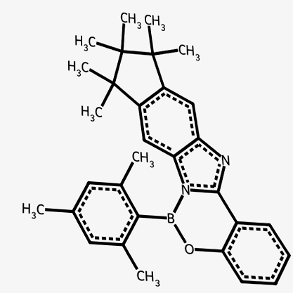 Cc1cc(C)c(B2Oc3ccccc3-c3nc4cc5c(cc4n32)C(C)(C)C(C)(C)C5(C)C)c(C)c1